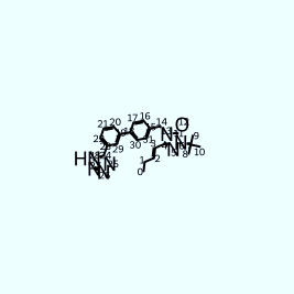 CCC=Cc1nn(C(C)(C)C)c(=O)n1Cc1ccc(-c2cccc(-c3nnn[nH]3)c2)cc1